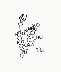 CC(C)(C)OC(=O)N1CCC(CCn2cnc3ccc(Oc4c(F)ccc(NS(=O)(=O)C5CCCC5)c4C#N)cc3c2=O)CC1.Cl.N#Cc1c(NS(=O)(=O)C2CCCC2)ccc(F)c1Oc1ccc2ncn(CCC3CCNCC3)c(=O)c2c1